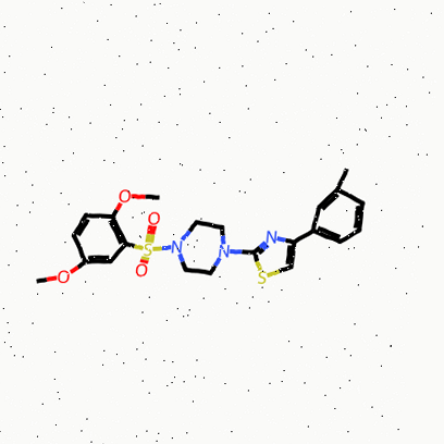 COc1ccc(OC)c(S(=O)(=O)N2CCN(c3nc(-c4cccc(C)c4)cs3)CC2)c1